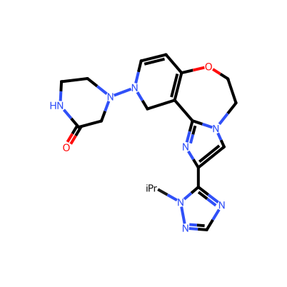 CC(C)n1ncnc1-c1cn2c(n1)C1=C(C=CN(N3CCNC(=O)C3)C1)OCC2